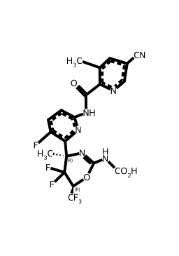 Cc1cc(C#N)cnc1C(=O)Nc1ccc(F)c([C@@]2(C)N=C(NC(=O)O)O[C@@H](C(F)(F)F)C2(F)F)n1